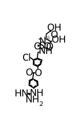 CN([C@@H](CC(=O)O)C(=O)O)S(=O)(=O)NCc1ccc(OC(=O)c2ccc(NC(=N)N)cc2)cc1Cl